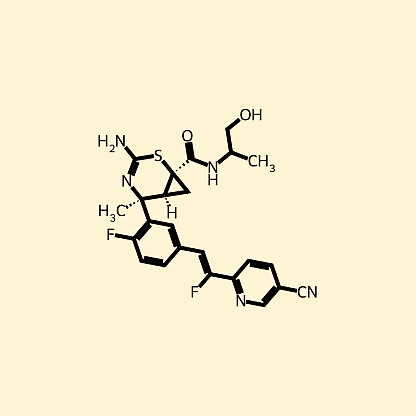 CC(CO)NC(=O)[C@]12C[C@H]1[C@@](C)(c1cc(/C=C(\F)c3ccc(C#N)cn3)ccc1F)N=C(N)S2